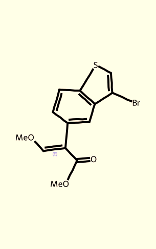 CO/C=C(/C(=O)OC)c1ccc2scc(Br)c2c1